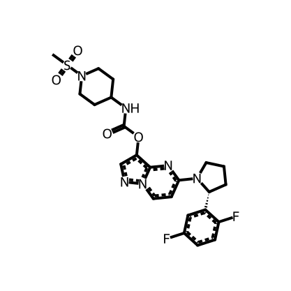 CS(=O)(=O)N1CCC(NC(=O)Oc2cnn3ccc(N4CCC[C@@H]4c4cc(F)ccc4F)nc23)CC1